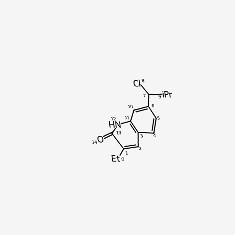 CCc1cc2ccc(C(Cl)C(C)C)cc2[nH]c1=O